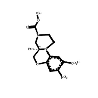 CC(C)(C)OC(=O)N1CCN2c3cc(C(=O)O)c([N+](=O)[O-])cc3OC[C@H]2C1